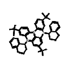 CC(C)(C)c1ccc2c(c1)N(C1CCCc3ccccc31)c1cc(C(C)(C)C)cc3c1B2c1ccc(C(C)(C)C)cc1N3C1CCCc2ccccc21